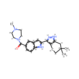 CCN1CCN(C(=O)c2ccc3[nH]c(-c4n[nH]c5c4CCC(C)(C)C5)cc3c2)CC1